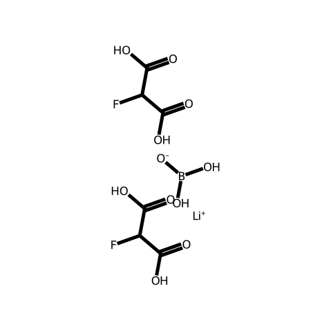 O=C(O)C(F)C(=O)O.O=C(O)C(F)C(=O)O.[Li+].[O-]B(O)O